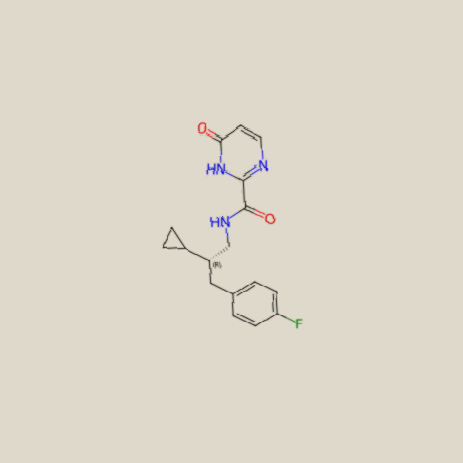 O=C(NC[C@H](Cc1ccc(F)cc1)C1CC1)c1nccc(=O)[nH]1